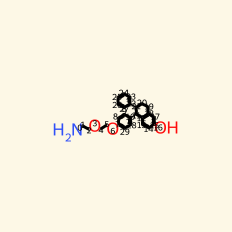 NCCOCCOc1ccc([C@@H]2c3ccc(O)cc3CC[C@@H]2c2ccccc2)cc1